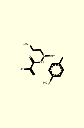 C=C(C(=O)NN(CCC)CCCCCCCCCCCC)C(C)C.Cc1ccc(S(=O)(=O)O)cc1